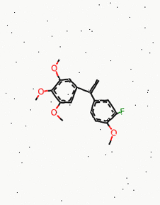 C=C(c1ccc(OC)c(F)c1)c1cc(OC)c(OC)c(OC)c1